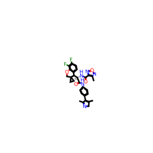 CC1=NCC(C)=C1c1ccc(NC(=O)[C@@H](NC(=O)c2nonc2C)C2c3ccc(F)c(F)c3OCC23CC3)cc1